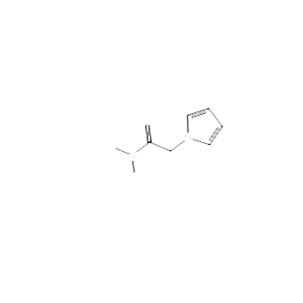 CN(C)C(=O)Cn1cccc1